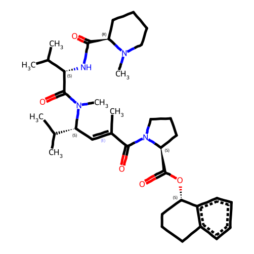 C/C(=C\[C@H](C(C)C)N(C)C(=O)[C@@H](NC(=O)[C@H]1CCCCN1C)C(C)C)C(=O)N1CCC[C@H]1C(=O)O[C@H]1CCCc2ccccc21